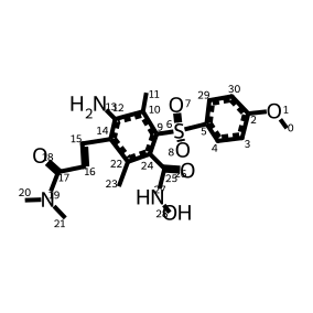 COc1ccc(S(=O)(=O)c2c(C)c(N)c(C=CC(=O)N(C)C)c(C)c2C(=O)NO)cc1